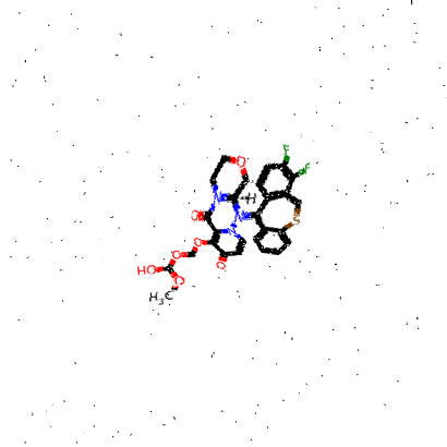 COC(O)OCOc1c2n(ccc1=O)N(C1c3ccccc3SCc3c1ccc(F)c3F)[C@@H]1COCCN1C2=O